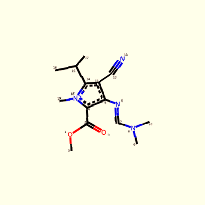 COC(=O)c1c(N=CN(C)C)c(C#N)c(C(C)C)n1C